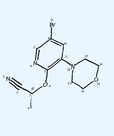 C[C@H](C#N)Oc1ncc(Br)cc1N1CCOCC1